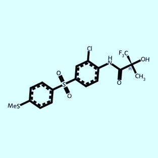 CSc1ccc(S(=O)(=O)c2ccc(NC(=O)[C@@](C)(O)C(F)(F)F)c(Cl)c2)cc1